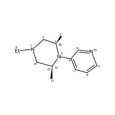 CCN1C[C@@H](C)N(c2cccnc2)[C@@H](C)C1